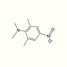 Cc1cc([N+](=O)[O-])cc(C)c1N(C)C